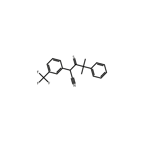 CC(C)(C(=S)C(C#N)c1cccc(C(F)(F)F)c1)c1ccccc1